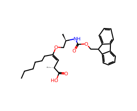 CCCCCCC(=C[C@@H](C)C(=O)O)OC[C@@H](C)NC(=O)OCC1c2ccccc2-c2ccccc21